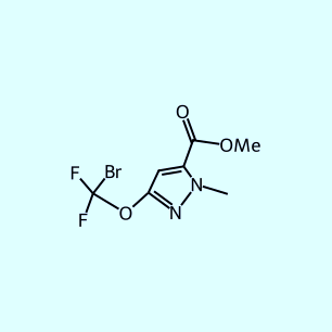 COC(=O)c1cc(OC(F)(F)Br)nn1C